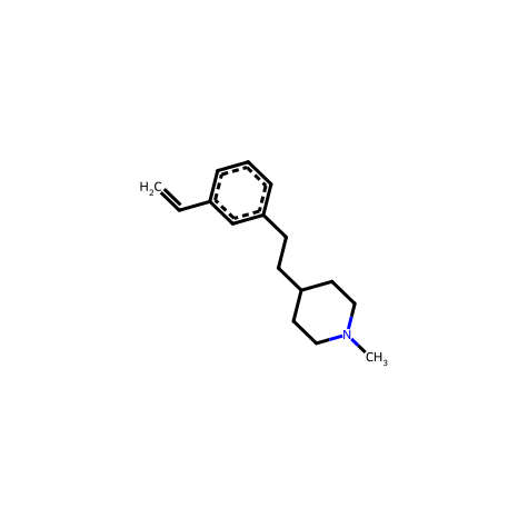 C=Cc1cccc(CCC2CCN(C)CC2)c1